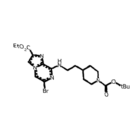 CCOC(=O)c1cn2cc(Br)nc(NCCC3CCN(C(=O)OC(C)(C)C)CC3)c2n1